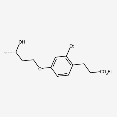 CCOC(=O)CCc1ccc(OCC[C@H](C)O)cc1CC